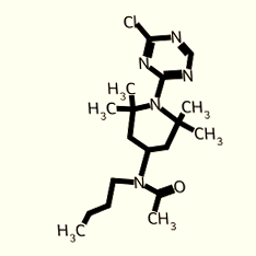 CCCCN(C(C)=O)C1CC(C)(C)N(c2ncnc(Cl)n2)C(C)(C)C1